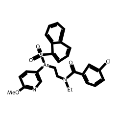 CCN(CC[As](c1ccc(OC)nc1)S(=O)(=O)c1cccc2ccccc12)C(=O)c1cccc(Cl)c1